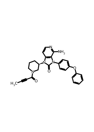 CC#CC(=O)N1CCC[C@@H](n2c(=O)n(-c3ccc(Oc4ccccc4)cc3)c3c(N)nccc32)C1